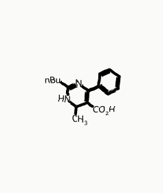 CCCCC1=NC(c2ccccc2)=C(C(=O)O)C(C)N1